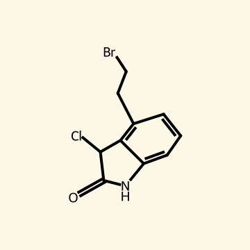 O=C1Nc2cccc(CCBr)c2C1Cl